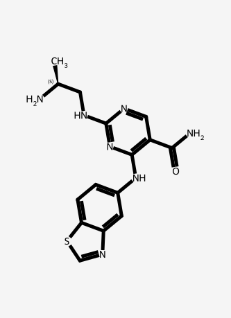 C[C@H](N)CNc1ncc(C(N)=O)c(Nc2ccc3scnc3c2)n1